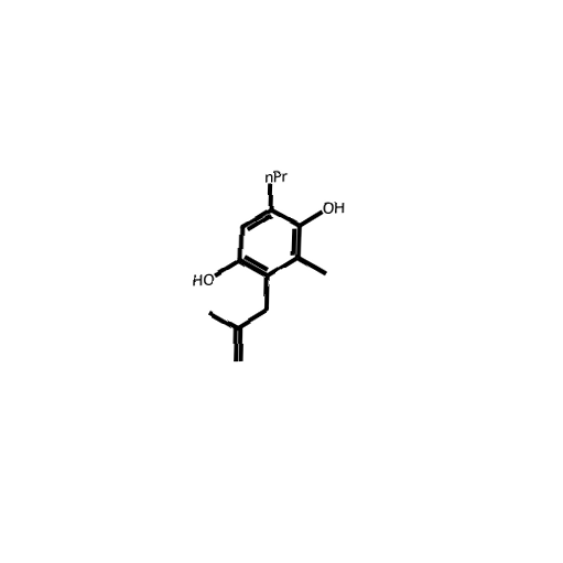 C=C(C)Cc1c(O)cc(CCC)c(O)c1C